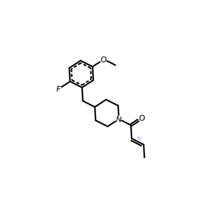 C/C=C/C(=O)N1CCC(Cc2cc(OC)ccc2F)CC1